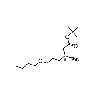 C#C[C@@H](CCCOCCCC)CC(=O)OC(C)(C)C